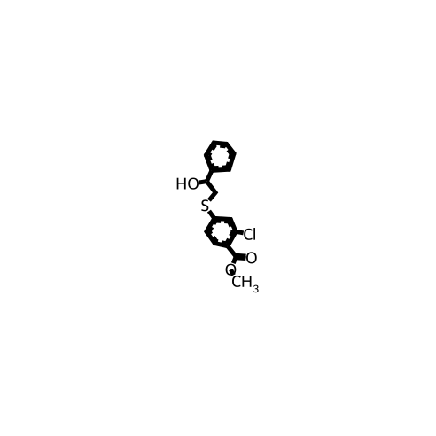 COC(=O)c1ccc(SCC(O)c2ccccc2)cc1Cl